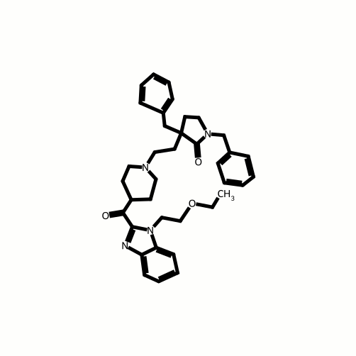 CCOCCn1c(C(=O)C2CCN(CCC3(Cc4ccccc4)CCN(Cc4ccccc4)C3=O)CC2)nc2ccccc21